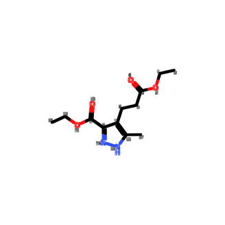 CCOC(=O)CCc1c(C(=O)OCC)n[nH]c1C